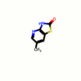 Cc1cnc2[nH]c(=O)sc2c1